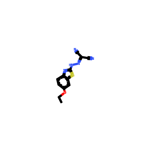 CCOc1ccc2nc(NN=C(C#N)C#N)sc2c1